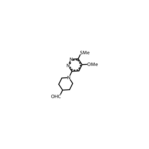 COc1cc(N2CCC(C=O)CC2)nnc1SC